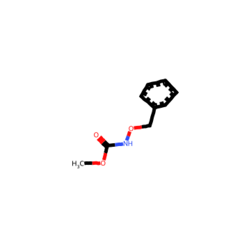 COC(=O)NOCc1ccccc1